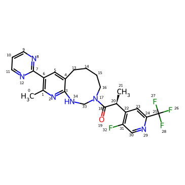 Cc1nc2c(cc1-c1ncccn1)CCCCN(C(=O)[C@@H](C)c1cc(C(F)(F)F)ncc1F)CN2